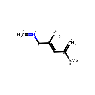 C=NC/C(C)=C/C(=C)SC